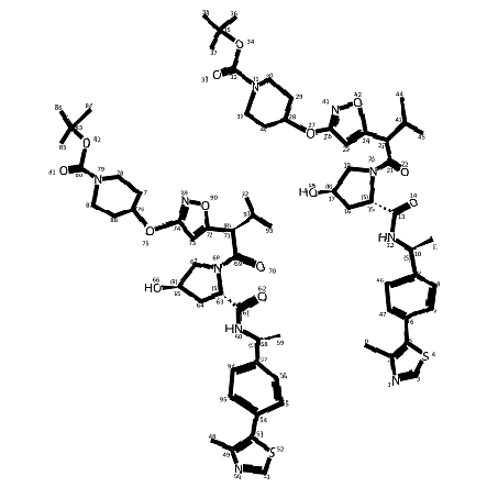 Cc1ncsc1-c1ccc([C@H](C)NC(=O)[C@@H]2C[C@@H](O)CN2C(=O)C(c2cc(OC3CCN(C(=O)OC(C)(C)C)CC3)no2)C(C)C)cc1.Cc1ncsc1-c1ccc([C@H](C)NC(=O)[C@@H]2C[C@@H](O)CN2C(=O)[C@@H](c2cc(OC3CCN(C(=O)OC(C)(C)C)CC3)no2)C(C)C)cc1